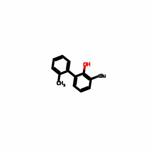 Cc1ccccc1-c1cccc(C(C)(C)C)c1O